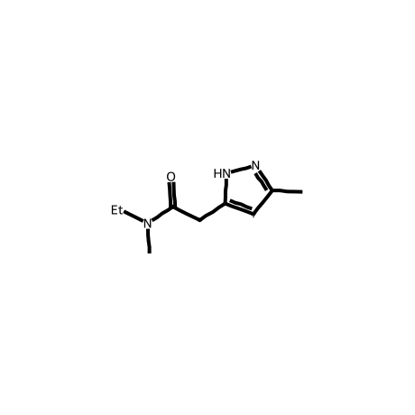 CCN(C)C(=O)Cc1[c]c(C)n[nH]1